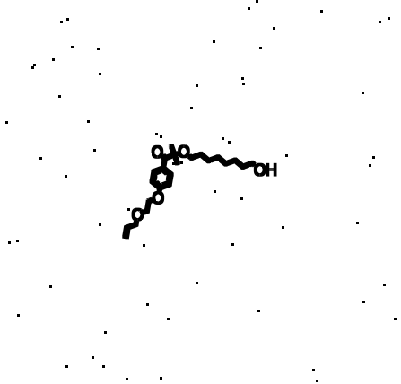 C=CCOCCOc1ccc(C(=O)C(C)(C)OCCCCCCCCO)cc1